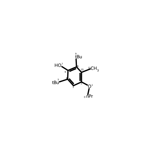 CCCOc1cc(C(C)(C)C)c(O)c(C(C)(C)C)c1C